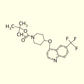 CC(C)(C)OC(=O)N1CCC(Oc2ccnc3ccc(C(F)(F)F)cc23)CC1